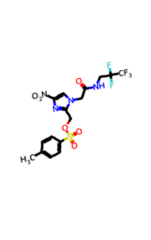 Cc1ccc(S(=O)(=O)OCc2nc([N+](=O)[O-])cn2CC(=O)NCC(F)(F)C(F)(F)F)cc1